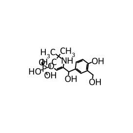 CC(C)(C)NC(=COP(=O)(O)O)C(O)c1ccc(O)c(CO)c1